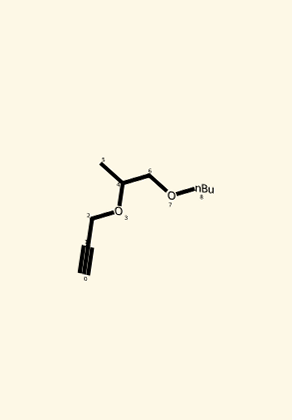 C#CCOC(C)COCCCC